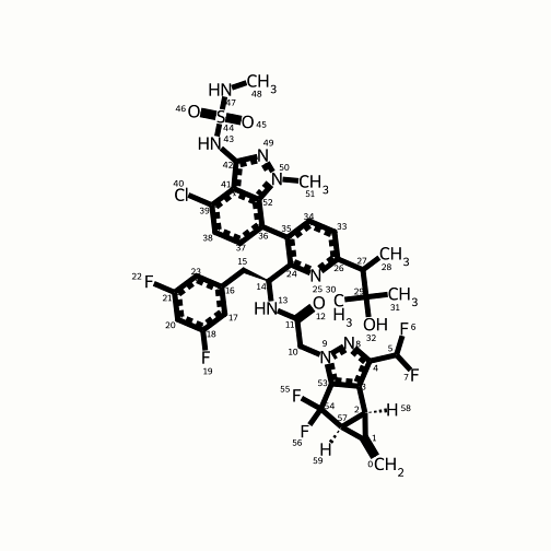 C=C1[C@@H]2c3c(C(F)F)nn(CC(=O)N[C@@H](Cc4cc(F)cc(F)c4)c4nc(C(C)C(C)(C)O)ccc4-c4ccc(Cl)c5c(NS(=O)(=O)NC)nn(C)c45)c3C(F)(F)[C@H]12